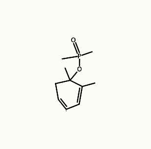 CC1=C[C]=CCC1(C)OP(C)(C)=O